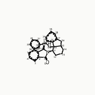 O=C1c2ccccc2C(=O)N1C1CCCC2Cc3ccccc3C21NCc1ccccc1